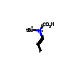 CC=CN(C(=O)O)C(C)(C)C